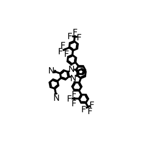 N#Cc1cccc(-c2cc(-n3c4ccccc4c4cc(-c5ccc(C(F)(F)F)cc5C(F)(F)F)ccc43)c(-n3c4ccccc4c4cc(-c5ccc(C(F)(F)F)cc5C(F)(F)F)ccc43)cc2C#N)c1